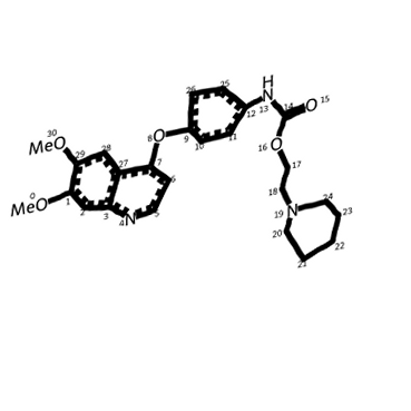 COc1cc2nccc(Oc3ccc(NC(=O)OCCN4CCCCC4)cc3)c2cc1OC